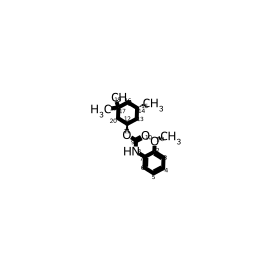 COc1ccccc1NC(=O)O[C@@H]1C[C@@H](C)CC(C)(C)C1